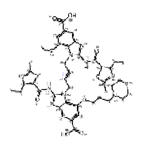 CCc1nc(C)sc1C(=O)Nc1nc2cc(C(=O)O)cc(OCCCN3CCOCC3)c2n1C/C=C/Cn1c(NC(=O)C2SC(C)=NC2CC)nc2cc(C(=O)O)cc(SC)c21